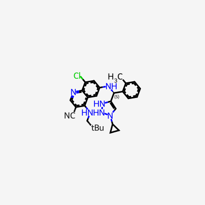 Cc1ccccc1[C@H](Nc1cc(Cl)c2ncc(C#N)c(NCC(C)(C)C)c2c1)C1=CN(C2CC2)NN1